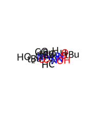 C#CCN(c1ccc(C(=O)N[C@@H](CCC(=O)N(C(C)(C)C)[C@@](C(=O)O)(C(CC(=O)O)C(C)(C)C)C(C)(C)C)C(=O)O)cc1)C1C=C2C(=CN(COC(=O)C(C)(C)C)CN2O)C2=C1CCC2